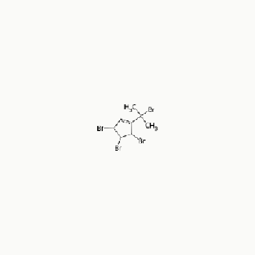 CC(C)(Br)C1=CC(Br)C(Br)C1Br